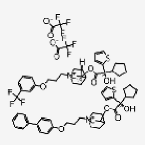 O=C(OC1C[N+]2(CCCOc3ccc(-c4ccccc4)cc3)CCC1CC2)[C@](O)(c1cccs1)C1CCCC1.O=C(O[C@H]1C[N+]2(CCCOc3cccc(C(F)(F)F)c3)CCC1CC2)[C@](O)(c1cccs1)C1CCCC1.O=C([O-])C(F)(F)F.O=C([O-])C(F)(F)F